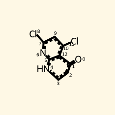 O=c1cc[nH]c2nc(Cl)cc(Cl)c12